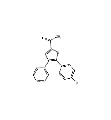 CC(=O)c1cc(-c2ccncc2)c(-c2ccc(F)cc2)s1